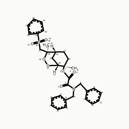 C[C@@]1(OC(=O)C(=O)N(Cc2ccccc2)Cc2ccccc2)CC[C@@H]2C[C@H]1OO[C@@]2(C)CS(=O)(=O)c1ccccc1